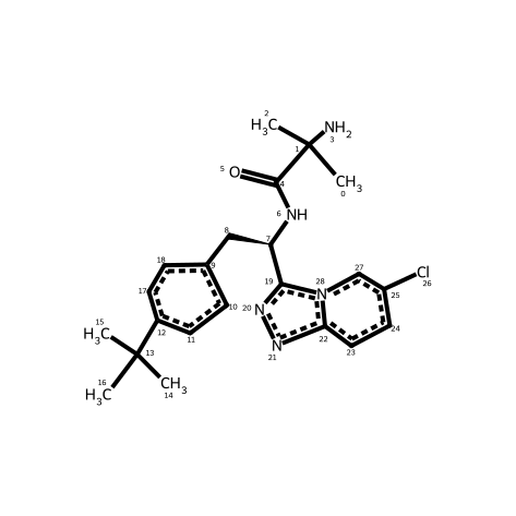 CC(C)(N)C(=O)N[C@H](Cc1ccc(C(C)(C)C)cc1)c1nnc2ccc(Cl)cn12